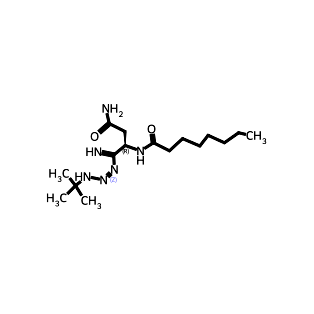 CCCCCCCC(=O)N[C@H](CC(N)=O)C(=N)/N=N\NC(C)(C)C